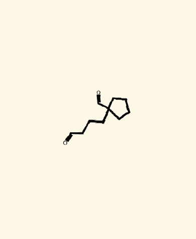 O=CCCCC1(C=O)CCCC1